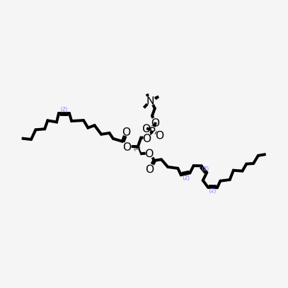 CCCCCC/C=C\CCCCCCCC(=O)O[C@H](COC(=O)CCC/C=C\C/C=C\C/C=C\CCCCCCCC)COP(=O)([O-])OCC[N+](C)(C)C